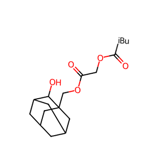 CCC(C)C(=O)OCC(=O)OCC12CC3CC(CC(C3)C1O)C2